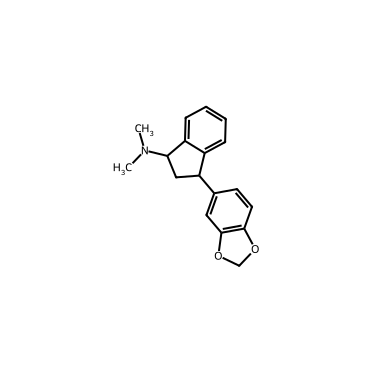 CN(C)C1CC(c2ccc3c(c2)OCO3)c2ccccc21